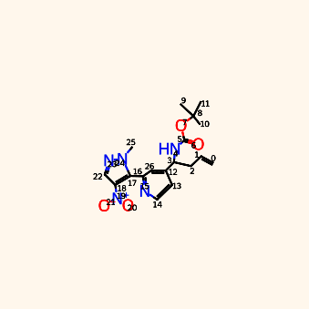 C=CCC(NC(=O)OC(C)(C)C)c1ccnc(-c2c([N+](=O)[O-])cnn2C)c1